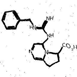 N=C(NCc1ccccc1)NC1C=NC=C2CCC(C(=O)O)N21